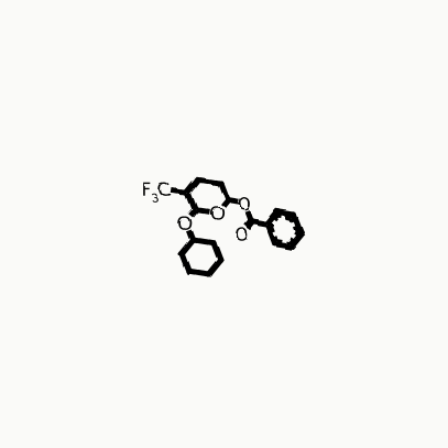 O=C(OC1CCC(C(F)(F)F)C(OC2CCCCC2)O1)c1ccccc1